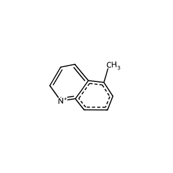 Cc1cccc2c1=CC=C[N+]=2